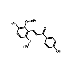 CCCOc1ccc(CCC)c(OCCC)c1C=CC(=O)c1ccc(O)cc1